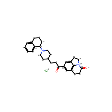 Cl.O=C(CCC1CCN(C2CCCc3ccccc32)CC1)c1cc2c3c(c1)CCN3C(=O)CC2